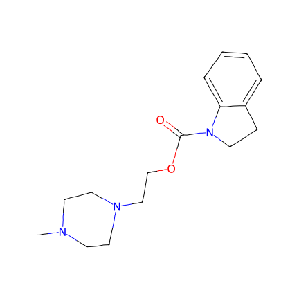 CN1CCN(CCOC(=O)N2CCc3ccccc32)CC1